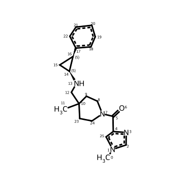 Cn1cnc(C(=O)N2CCC(C)(CN[C@H]3C[C@H]3c3ccccc3)CC2)c1